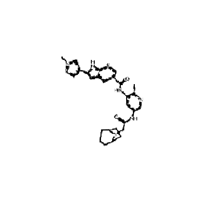 Cc1ncc(NC(=O)CN2C3CCCC2CC3)cc1NC(=O)c1cnc2[nH]c(-c3cnn(C)c3)cc2c1